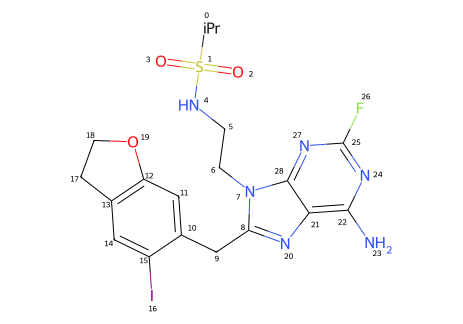 CC(C)S(=O)(=O)NCCn1c(Cc2cc3c(cc2I)CCO3)nc2c(N)nc(F)nc21